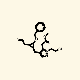 COC(=O)Cc1c([C@H](C)C2C(CC=O)C2OCc2ccccc2)cnn1CCO